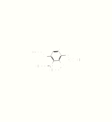 O=C(O)Oc1ccc(OC(=O)O)c(OC(=O)O)c1OC(=O)O